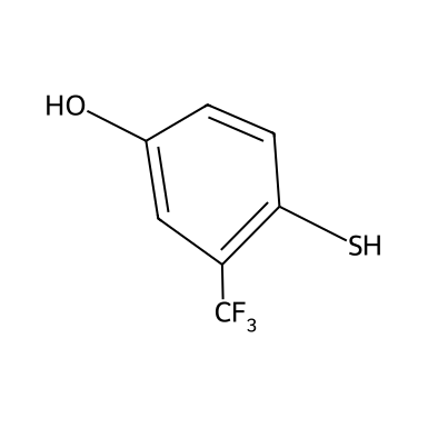 Oc1ccc(S)c(C(F)(F)F)c1